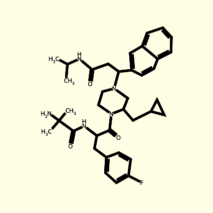 CC(C)NC(=O)CC(c1ccc2ccccc2c1)N1CCN(C(=O)C(Cc2ccc(F)cc2)NC(=O)C(C)(C)N)C(CC2CC2)C1